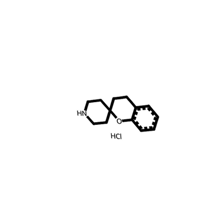 Cl.c1ccc2c(c1)CCC1(CCNCC1)O2